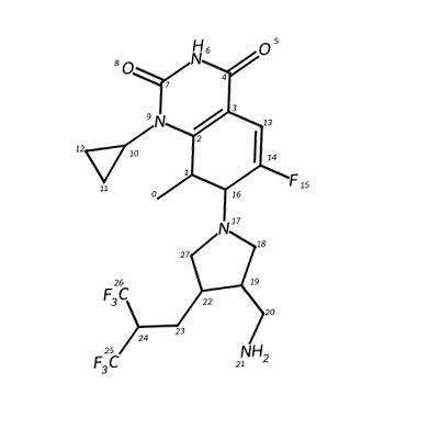 CC1c2c(c(=O)[nH]c(=O)n2C2CC2)C=C(F)C1N1CC(CN)C(CC(C(F)(F)F)C(F)(F)F)C1